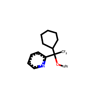 CCCOC(c1ccccn1)(C1CCCCC1)C(F)(F)F